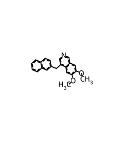 COc1cc2cncc(Cc3ccc4ccccc4c3)c2cc1OC